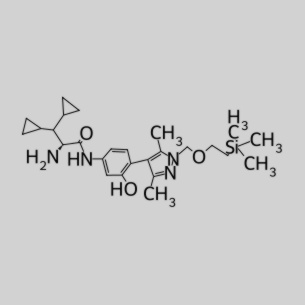 Cc1nn(COCC[Si](C)(C)C)c(C)c1-c1ccc(NC(=O)[C@@H](N)C(C2CC2)C2CC2)cc1O